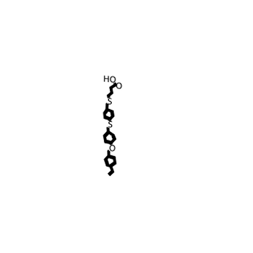 C=Cc1ccc(COc2ccc(CSc3ccc(CSCCCC(=O)O)cc3)cc2)cc1